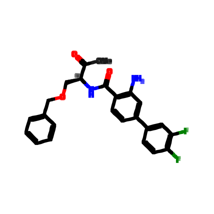 COC(=O)[C@H](COCc1ccccc1)NC(=O)c1ccc(-c2ccc(F)c(F)c2)cc1N